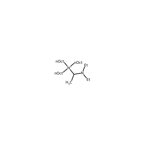 CCCCCCCC[N+](CCCCCCCC)(CCCCCCCC)C(C)N(CC)CC